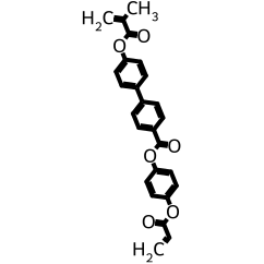 C=CC(=O)Oc1ccc(OC(=O)c2ccc(-c3ccc(OC(=O)C(=C)C)cc3)cc2)cc1